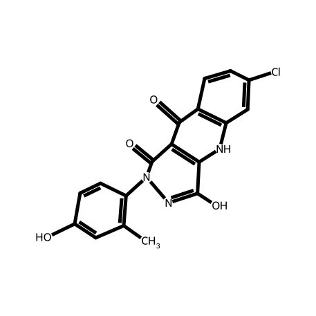 Cc1cc(O)ccc1-n1nc(O)c2[nH]c3cc(Cl)ccc3c(=O)c2c1=O